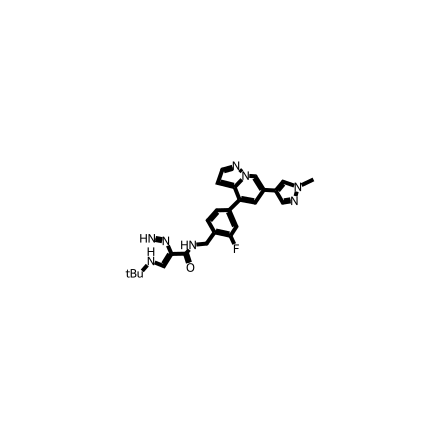 Cn1cc(-c2cc(-c3ccc(CNC(=O)/C(=C/NC(C)(C)C)N=N)c(F)c3)c3ccnn3c2)cn1